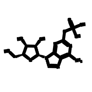 Nc1nc(OP(=O)(O)O)nc2c1ncn2[C@@H]1O[C@H](CO)[C@@H](O)[C@H]1O